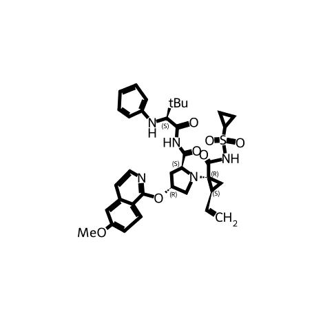 C=C[C@@H]1C[C@@]1(C(=O)NS(=O)(=O)C1CC1)N1C[C@H](Oc2nccc3cc(OC)ccc23)C[C@H]1C(=O)NC(=O)[C@@H](Nc1ccccc1)C(C)(C)C